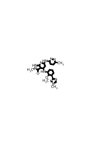 COc1c(Nc2cc(Nc3ccc(C)nn3)nc3[nH]n(C)c(=O)c23)cccc1-c1ncn(C)n1